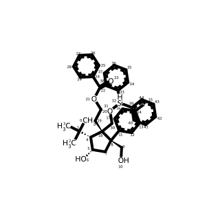 CC(C)(C)[C@H]1[C@@H](O)C[C@@](CO)(c2ccc(F)cc2)[C@@]1(CCOC(=O)c1ccccc1)CO[SiH](c1ccccc1)c1ccccc1